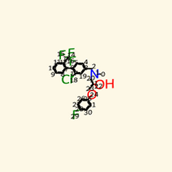 CN(Cc1ccc(-c2ccccc2C(F)(F)F)c(Cl)c1)CC(O)COc1ccc(F)cc1